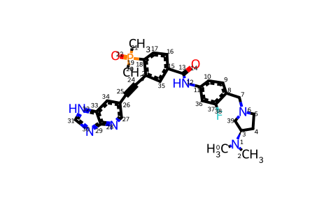 CN(C)[C@@H]1CCN(Cc2ccc(NC(=O)c3ccc(P(C)(C)=O)c(C#Cc4cnc5nc[nH]c5c4)c3)cc2F)C1